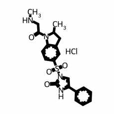 CNCC(=O)N1c2ccc(S(=O)(=O)n3cc(-c4ccccc4)[nH]c3=O)cc2CC1C.Cl